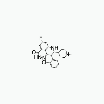 CN1CCC(C2Nc3cc(F)cc4c(=O)[nH]nc(c34)C2c2ccccc2Cl)CC1